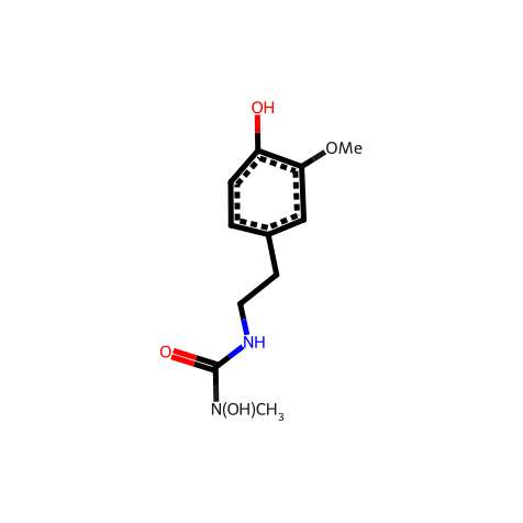 COc1cc(CCNC(=O)N(C)O)ccc1O